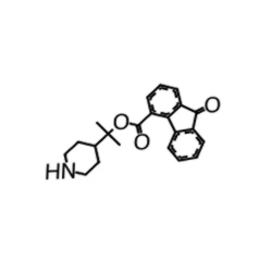 CC(C)(OC(=O)c1cccc2c1-c1ccccc1C2=O)C1CCNCC1